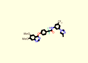 COc1cc2ncnc(Oc3ccc(C(F)(F)C(=O)Nc4cc(-n5cnc(C)c5)cc(C(F)(F)F)c4)cc3)c2cc1OC